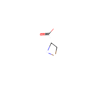 O=C(O)[C@@H]1CSN1